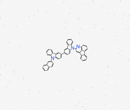 c1ccc2c(c1)-c1cccc3nc(-n4c5ccccc5c5cc(-c6ccc7c(c6)c6ccccc6n7-c6ccc7ccccc7c6)ccc54)cc-2c13